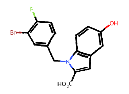 O=C(O)c1cc2cc(O)ccc2n1Cc1ccc(F)c(Br)c1